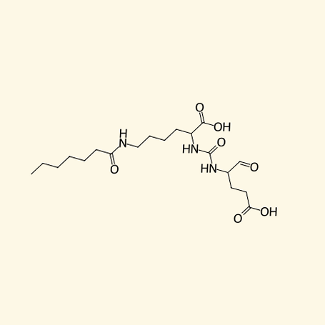 CCCCCCC(=O)NCCCCC(NC(=O)NC(C=O)CCC(=O)O)C(=O)O